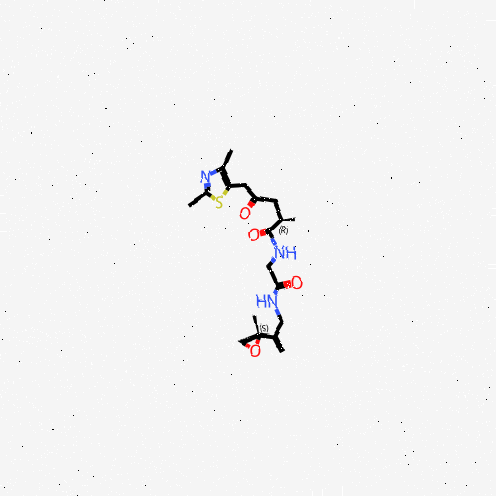 C=C(CNC(=O)CNC(=O)[C@H](C)CC(=O)Cc1sc(C)nc1C)[C@@]1(C)CO1